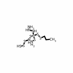 CCCSSS(NNN)(SN)SNSSS